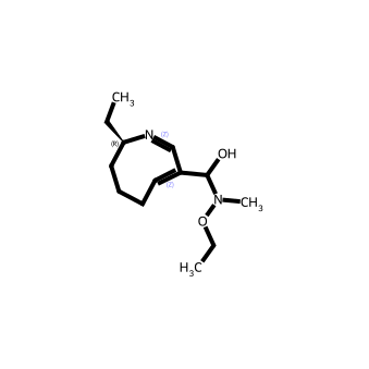 CCON(C)C(O)C1=C\CCC[C@@H](CC)/N=C\1